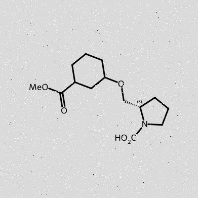 COC(=O)C1CCCC(OC[C@@H]2CCCN2C(=O)O)C1